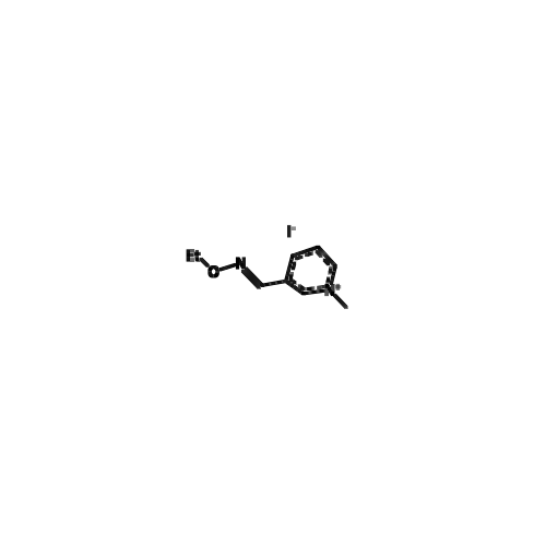 CCON=Cc1ccc[n+](C)c1.[I-]